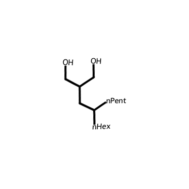 CCCCCCC(CCCCC)CC(CO)CO